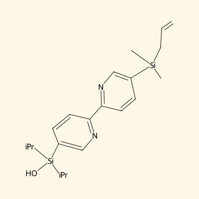 C=CC[Si](C)(C)c1ccc(-c2ccc([Si](O)(C(C)C)C(C)C)cn2)nc1